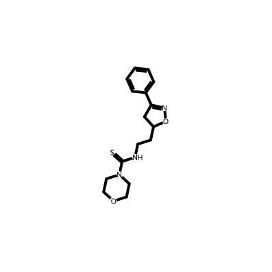 S=C(NCCC1CC(c2ccccc2)=NO1)N1CCOCC1